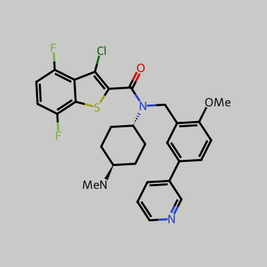 CN[C@H]1CC[C@H](N(Cc2cc(-c3cccnc3)ccc2OC)C(=O)c2sc3c(F)ccc(F)c3c2Cl)CC1